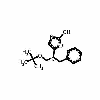 CC(C)(C)OC[C@H](Cc1ccccc1)c1cnc(O)o1